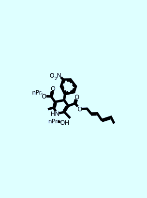 C/C=C/C=C/COC(=O)C1=C(C)NC(C)=C(C(=O)OCCC)C1c1cccc([N+](=O)[O-])c1.CCCO